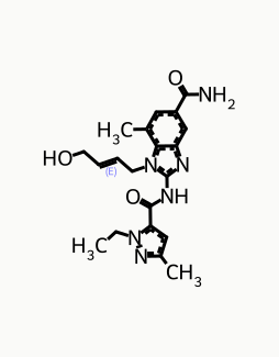 CCn1nc(C)cc1C(=O)Nc1nc2cc(C(N)=O)cc(C)c2n1C/C=C/CO